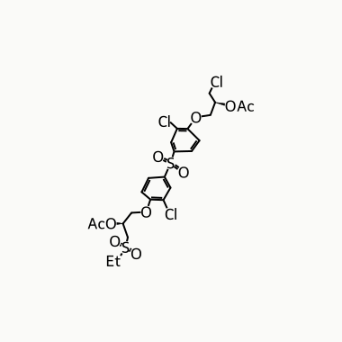 CCS(=O)(=O)C[C@H](COc1ccc(S(=O)(=O)c2ccc(OC[C@@H](CCl)OC(C)=O)c(Cl)c2)cc1Cl)OC(C)=O